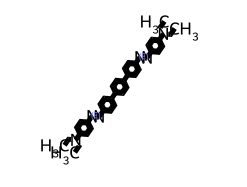 CCN(CC)c1ccc(/N=N/c2ccc(-c3ccc(-c4ccc(/N=N/c5ccc(N(CC)CC)cc5)cc4)cc3)cc2)cc1